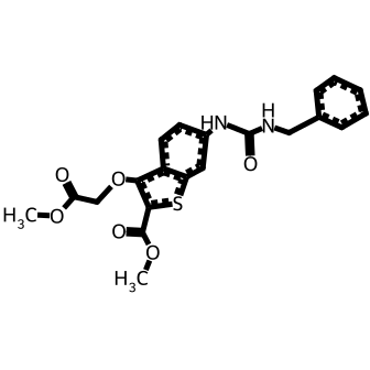 COC(=O)COc1c(C(=O)OC)sc2cc(NC(=O)NCc3ccccc3)ccc12